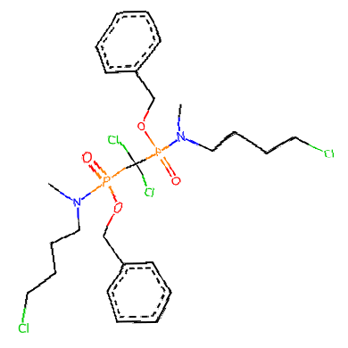 CN(CCCCCl)P(=O)(OCc1ccccc1)C(Cl)(Cl)P(=O)(OCc1ccccc1)N(C)CCCCCl